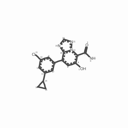 [NH]C(=O)c1c(O)cc(-c2cc(Cl)cc(C3CC3)c2)c2ncnn12